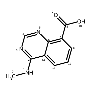 CNc1ncnc2c(C(=O)O)cccc12